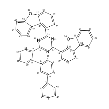 c1ccc(-c2cccc(-c3ccccc3-c3nc(-c4cccc5c4oc4ccccc45)nc(-c4cccc5oc6ccccc6c45)n3)c2)cc1